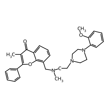 COc1ccccc1N1CCN(CCN(C)Cc2cccc3c(=O)c(C)c(-c4ccccc4)oc23)CC1